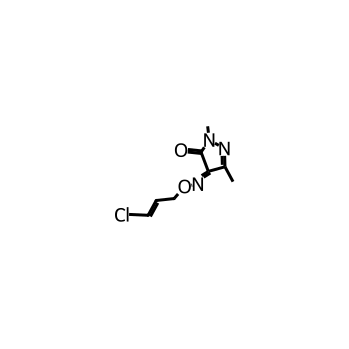 CC1=NN(C)C(=O)C1=NOCC=CCl